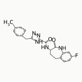 Cc1ccc(Cc2nnc(C(=O)NC3CCc4ccc(F)cc4NC3=O)[nH]2)cc1